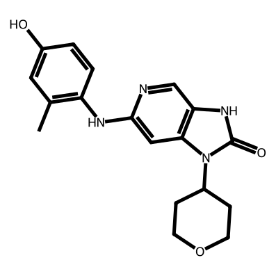 Cc1cc(O)ccc1Nc1cc2c(cn1)[nH]c(=O)n2C1CCOCC1